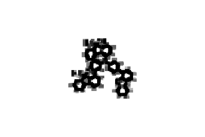 CC1(C)c2ccccc2-c2c(N(c3ccc(-c4cccc5c4oc4ccccc45)cc3)c3cccc(-c4cccc5c4C(C)(C)c4ccccc4-5)c3)cccc21